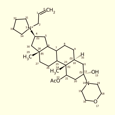 C=CC[N+]1([C@H]2CC3C4CC[C@H]5C[C@@](O)(N6CCOCC6)CC(OC(C)=O)[C@]5(C)C4CC[C@]3(C)C2)CCCC1